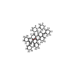 c1ccc(-c2c(-c3ccccc3)c(-c3ccccc3)c3c(-c4ccc(N(c5ccccc5)c5ccccc5)c5ccccc45)cccc3c2-c2ccccc2)cc1